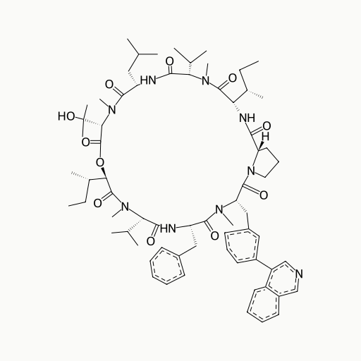 CC[C@H](C)[C@@H]1NC(=O)[C@@H]2CCCN2C(=O)[C@H](Cc2cccc(-c3cncc4ccccc34)c2)N(C)C(=O)[C@H](Cc2ccccc2)NC(=O)[C@H](C(C)C)N(C)C(=O)[C@@H]([C@@H](C)CC)OC(=O)[C@H](C(C)(C)O)N(C)C(=O)[C@H](CC(C)C)NC(=O)[C@H](C(C)C)N(C)C1=O